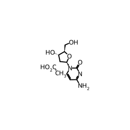 CC(=O)O.Nc1ccn([C@H]2C[C@H](O)[C@@H](CO)O2)c(=O)n1